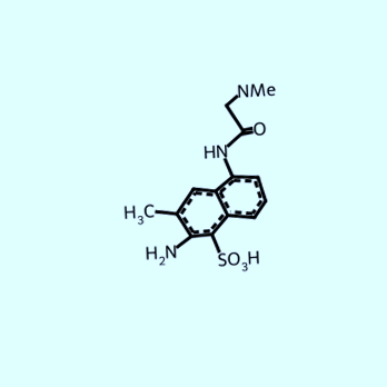 CNCC(=O)Nc1cccc2c(S(=O)(=O)O)c(N)c(C)cc12